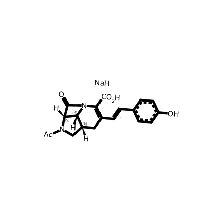 CC(=O)N1C[C@H]2CC(/C=C/c3ccc(O)cc3)=C(C(=O)O)N3C(=O)[C@@H]1[C@@H]23.[NaH]